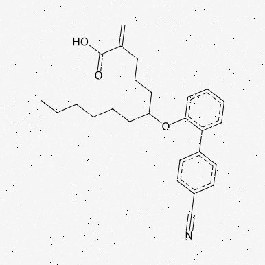 C=C(CCCC(CCCCCC)Oc1ccccc1-c1ccc(C#N)cc1)C(=O)O